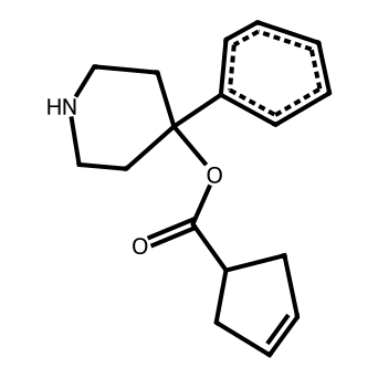 O=C(OC1(c2ccccc2)CCNCC1)C1CC=CC1